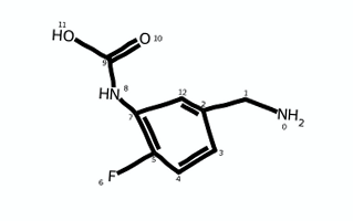 NCc1ccc(F)c(NC(=O)O)c1